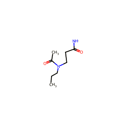 CCCN(CCC([NH])=O)C(C)=O